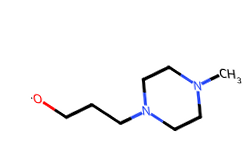 CN1CCN(CCC[O])CC1